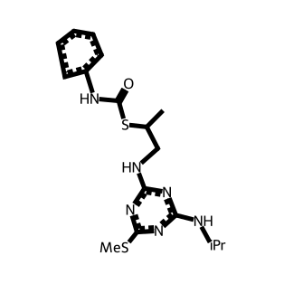 CSc1nc(NCC(C)SC(=O)Nc2ccccc2)nc(NC(C)C)n1